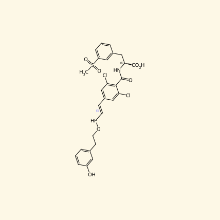 CS(=O)(=O)c1cccc(C[C@H](NC(=O)c2c(Cl)cc(/C=C/POCCc3cccc(O)c3)cc2Cl)C(=O)O)c1